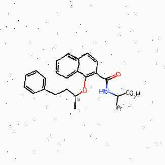 CC(C)C(NC(=O)c1ccc2ccccc2c1O[C@@H](C)CCc1ccccc1)C(=O)O